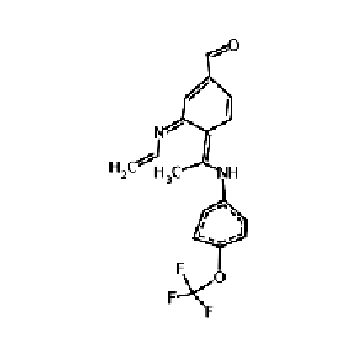 C=C/N=C1/C=C(C=O)C=C/C1=C(/C)Nc1ccc(OC(F)(F)F)cc1